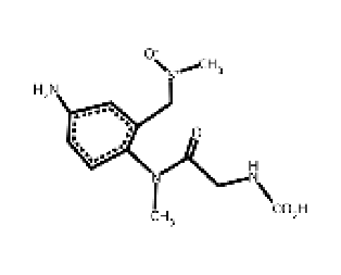 CN(C(=O)CNC(=O)O)c1ccc(N)cc1C[S+](C)[O-]